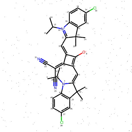 CC(C)N1/C(=C\C2=C([O-])C(=C\C3=[N+](C(C)C)c4ccc(Cl)cc4C3(C)C)/C2=C(C#N)C#N)C(C)(C)c2cc(Cl)ccc21